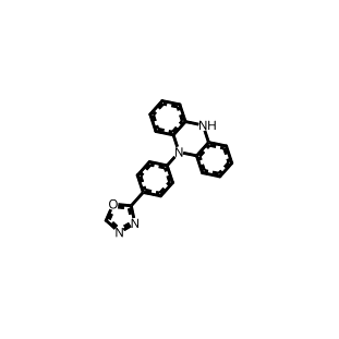 c1ccc2c(c1)Nc1ccccc1N2c1ccc(-c2nnco2)cc1